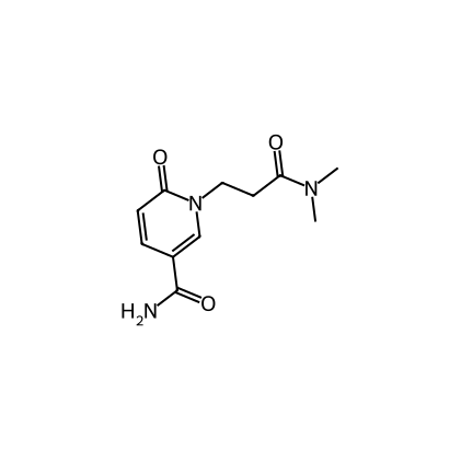 CN(C)C(=O)CCn1cc(C(N)=O)ccc1=O